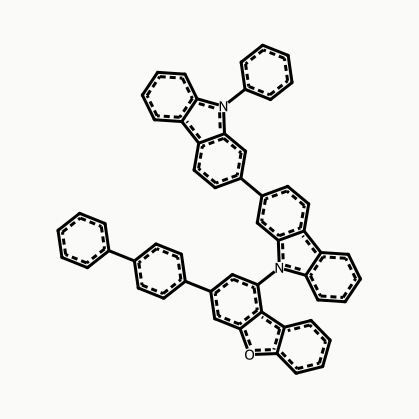 c1ccc(-c2ccc(-c3cc(-n4c5ccccc5c5ccc(-c6ccc7c8ccccc8n(-c8ccccc8)c7c6)cc54)c4c(c3)oc3ccccc34)cc2)cc1